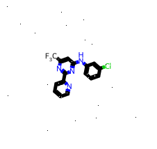 FC(F)(F)c1cc(Nc2cccc(Cl)c2)nc(-c2ccccn2)n1